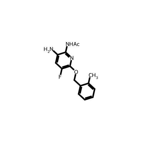 CC(=O)Nc1nc(OCc2ccccc2C)c(F)cc1N